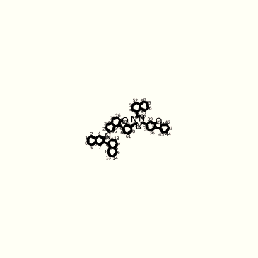 c1ccc2cc3c(cc2c1)c1c2ccccc2ccc1n3-c1ccc2ccc3oc4c(-c5nc(-c6ccc7c(c6)oc6ccccc67)nc(-c6cccc7ccccc67)n5)cccc4c3c2c1